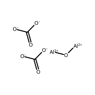 O=C([O-])[O-].O=C([O-])[O-].[Al+2][O][Al+2]